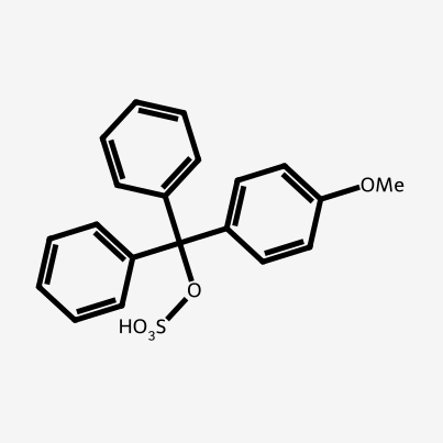 COc1ccc(C(OS(=O)(=O)O)(c2ccccc2)c2ccccc2)cc1